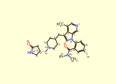 Cc1cncc2c1c(CC1CCN(C[C@@H]3CNC(=O)C3)CC1)cn2-c1ccc(F)cc1C(=O)N(C)C(C)C